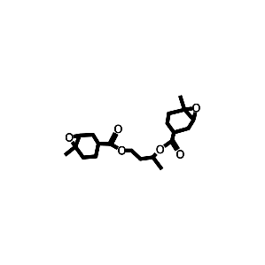 CC(CCOC(=O)C1CCC2(C)OC2C1)OC(=O)C1CCC2(C)OC2C1